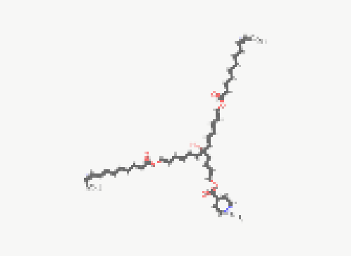 CCCCCCCC/C=C\CCCCCCCC(=O)OCCCCCCC(O)(CCCCCCOC(=O)CCCCCCC/C=C\CCCCCCCC)CCCCOC(=O)C1CCN(C)CC1